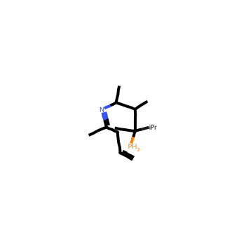 C=CC/C(C)=N\C(C)C(C)C(C)(P)C(C)C